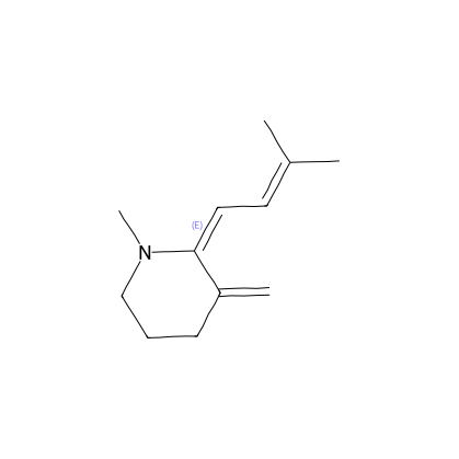 C=C1CCCN(C)/C1=C/C=C(C)C